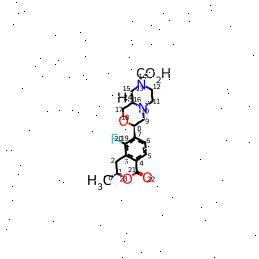 C[C@H]1Cc2c(ccc([C@@H]3CN4CCN(C(=O)O)C[C@@H]4CO3)c2F)C(=O)O1